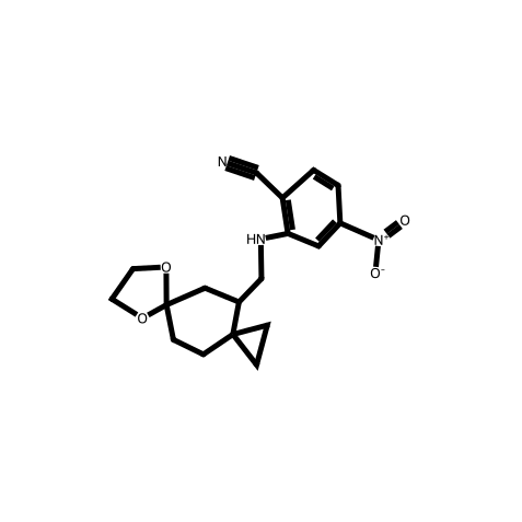 N#Cc1ccc([N+](=O)[O-])cc1NCC1CC2(CCC13CC3)OCCO2